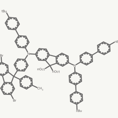 CCCCCCCCC1(CCCCCCCC)c2cc(N(c3ccc(-c4ccc(CCCC)cc4)cc3)c3ccc(-c4ccc(CCCC)cc4)cc3)ccc2-c2ccc(N(c3ccc(-c4ccc(C(C)(C)C)cc4)cc3)c3ccc(C4(c5ccc(C)cc5)c5cc(Br)ccc5-c5ccc(Br)cc54)cc3)cc21